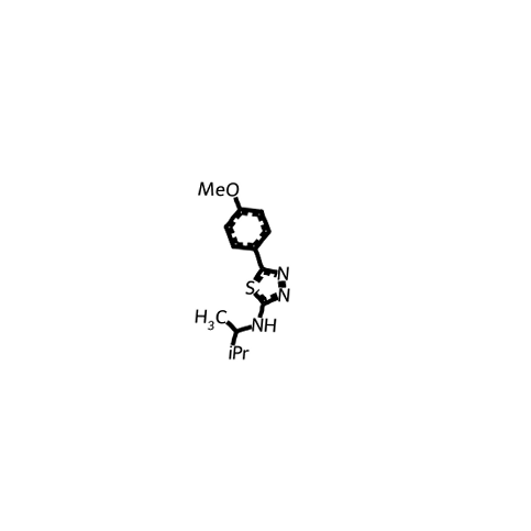 COc1ccc(-c2nnc(NC(C)C(C)C)s2)cc1